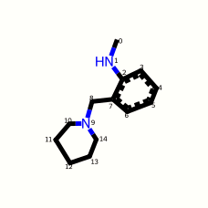 CNc1ccccc1CN1CCCCC1